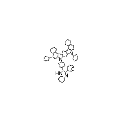 c1ccc(C2=Nc3ccccc3NC2c2ccc(-n3c4cc5c(cc4c4c6ccccc6c(-c6ccccc6)cc43)c3c4ccccc4ccc3n5-c3ccccc3)cc2)cc1